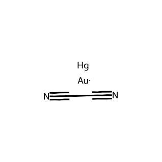 N#CC#N.[Au].[Hg]